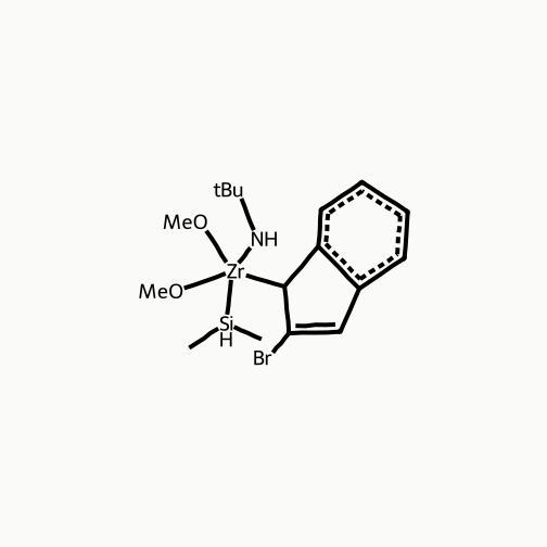 C[O][Zr]([NH]C(C)(C)C)([O]C)([CH]1C(Br)=Cc2ccccc21)[SiH](C)C